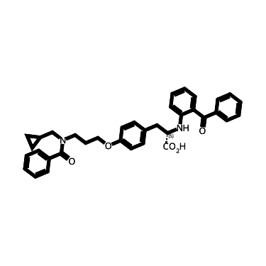 O=C(c1ccccc1)c1ccccc1N[C@@H](Cc1ccc(OCCCN(CC2CC2)C(=O)c2ccccc2)cc1)C(=O)O